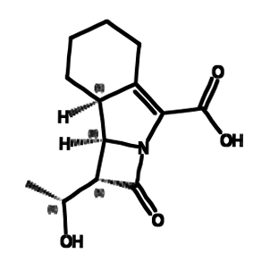 C[C@@H](O)[C@H]1C(=O)N2C(C(=O)O)=C3CCCC[C@@H]3[C@H]12